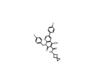 O=C(NC1CC2(CC2)C1)c1c(O)c2cc(-c3ccc(F)cc3)cnc2n(Cc2ccc(F)cc2)c1=O